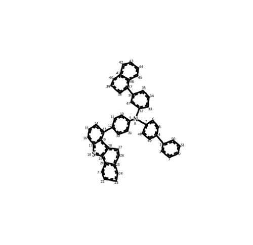 c1ccc(-c2ccc(N(c3ccc(-c4cccc5sc6c7ccccc7ccc6c45)cc3)c3cccc(-c4cccc5ccccc45)c3)cc2)cc1